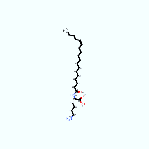 CCCC/C=C\CCCCCCCCCCCC(=O)N[C@@H](CCCCN)C(=O)O